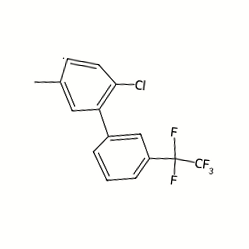 Cc1[c]cc(Cl)c(-c2cccc(C(F)(F)C(F)(F)F)c2)c1